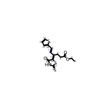 CCOC(=O)CCC(/C=C/c1cccs1)=C1\SC(=S)NC1=O